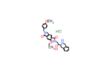 CCOc1cc2c(cc1C(=O)NCC(O)C1Cc3ccccc3CN1)CN(Cc1ccc(OC)cc1)C2=O.Cl